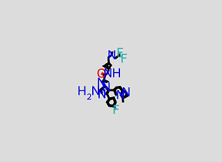 Cc1cnc2ccc(-c3c(-c4ccc(F)cc4)nc(N)c4nc(C(=O)NC56CC(CN(C)CC(F)F)(C5)C6)cn34)cn12